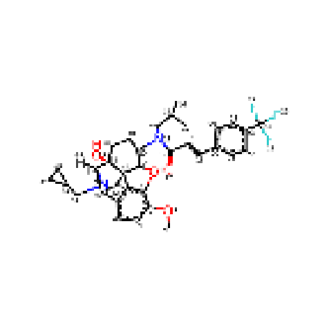 COc1ccc2c3c1OC1C(N(CC(C)C)C(=O)/C=C/c4ccc(C(F)(F)F)cc4)CC[C@@]4(O)[C@@H](C2)N(CC2CC2)CC[C@]314